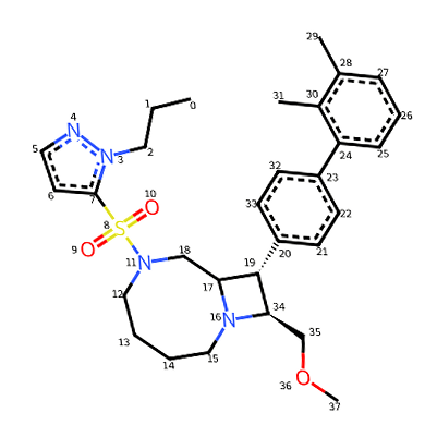 CCCn1nccc1S(=O)(=O)N1CCCCN2C(C1)[C@H](c1ccc(-c3cccc(C)c3C)cc1)[C@H]2COC